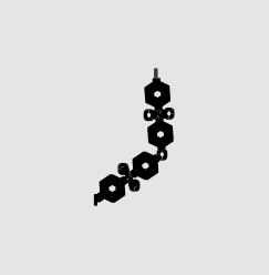 O=S(=O)(c1ccc(I)cc1)c1ccc(Oc2ccc(S(=O)(=O)c3ccc(I)cc3)cc2)cc1